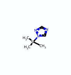 C[Si](C)(C)n1cn[c]n1